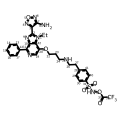 CCn1c(-c2nonc2N)nc2c(-c3ccccc3)ncc(OCCCNCCc3ccc(S(=O)(=O)NOC(=O)C(F)(F)F)cc3)c21